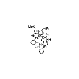 CSCC[C@H](NC(=O)c1cccc(O)c1C)C(=O)N[C@@H](CC(C)C)[C@@H](O)C[C@@H](C)C(=O)N[C@@H](CC(C)C)C(=O)NCc1ccccc1